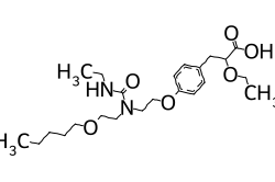 CCCCCOCCN(CCOc1ccc(CC(OCC)C(=O)O)cc1)C(=O)NCC